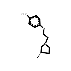 C[C@H]1CCN(CCOc2ccc(C=O)cc2)C1